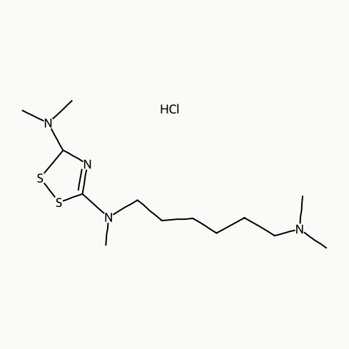 CN(C)CCCCCCN(C)C1=NC(N(C)C)SS1.Cl